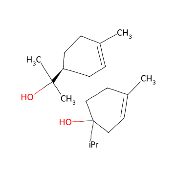 CC1=CCC(O)(C(C)C)CC1.CC1=CC[C@@H](C(C)(C)O)CC1